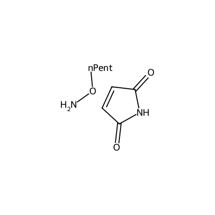 CCCCCON.O=C1C=CC(=O)N1